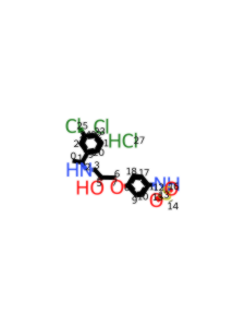 CC(NCC(O)COc1ccc(NS(C)(=O)=O)cc1)c1ccc(Cl)c(Cl)c1.Cl